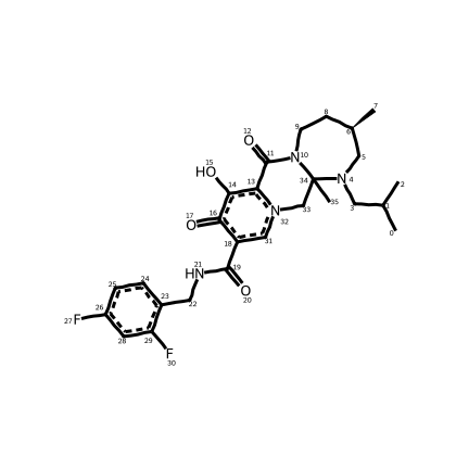 CC(C)CN1C[C@H](C)CCN2C(=O)c3c(O)c(=O)c(C(=O)NCc4ccc(F)cc4F)cn3CC12C